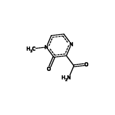 Cn1ccnc(C(N)=O)c1=O